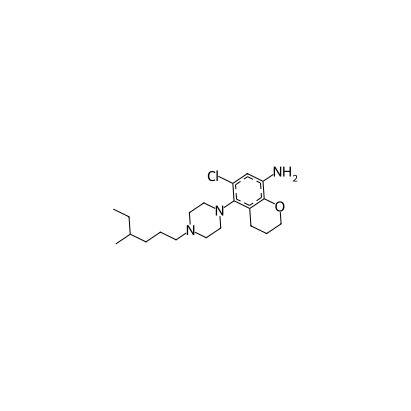 CCC(C)CCCN1CCN(c2c(Cl)cc(N)c3c2CCCO3)CC1